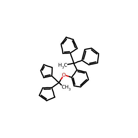 CC(Oc1ccccc1C(C)(c1ccccc1)c1ccccc1)(C1=CC=CC1)C1=CC=CC1